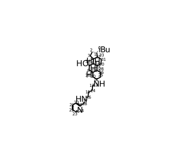 CC[C@@H](C)[C@H]1CC[C@H]2[C@@H]3[C@H](O)C[C@@H]4C[C@@H](NCCCCNCc5ccccn5)CC[C@]4(C)[C@H]3CC[C@]12C